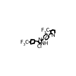 FC(F)(F)c1ccc(-c2nc(N3CCN(c4ncccc4C(F)(F)F)CC3)[nH]c2Cl)cc1